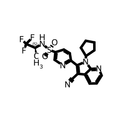 C[C@H](NS(=O)(=O)c1ccc(-c2c(C#N)c3cccnc3n2C2CCCC2)nc1)C(F)(F)F